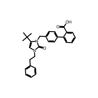 CC(C)(C)c1cn(CCc2ccccc2)c(=O)n1Cc1ccc(-c2ccccc2C(=O)O)cc1